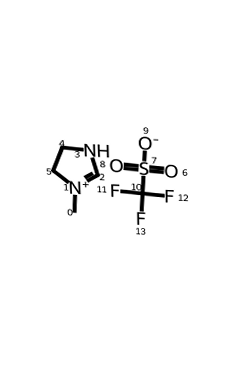 C[N+]1=CNCC1.O=S(=O)([O-])C(F)(F)F